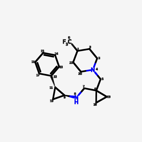 FC(F)(F)C1CCN(CC2(CN[C@H]3C[C@@H]3c3ccccc3)CC2)CC1